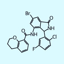 O=C(Nc1cc(Br)cc2c1C(c1cc(F)ccc1Cl)NC2=O)c1cccc2c1OCCC2